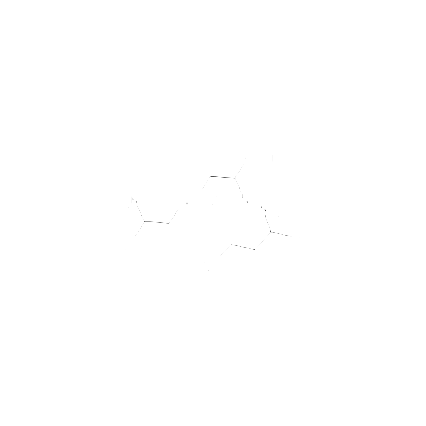 NC(CC(=O)O)C(=O)O.NC(CCC(=O)O)C(=O)O.NC(CO)C(=O)O